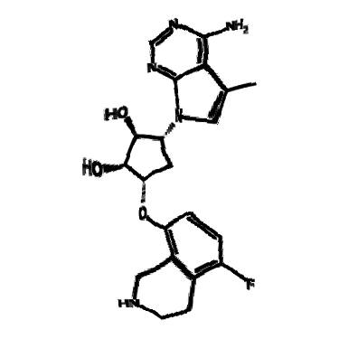 Cc1cn([C@@H]2C[C@H](Oc3ccc(F)c4c3CNCC4)[C@@H](O)[C@H]2O)c2ncnc(N)c12